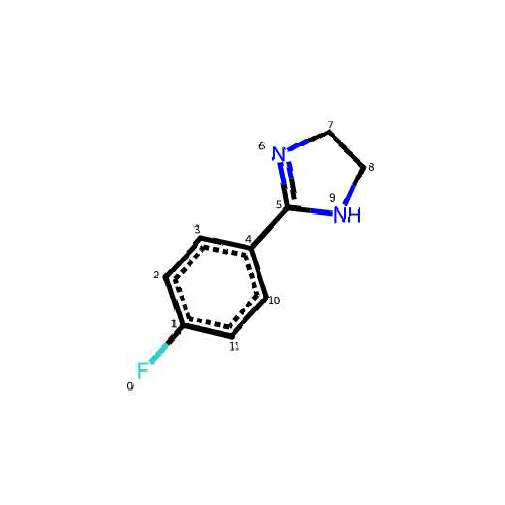 Fc1ccc(C2=NCCN2)cc1